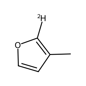 [2H]c1occc1C